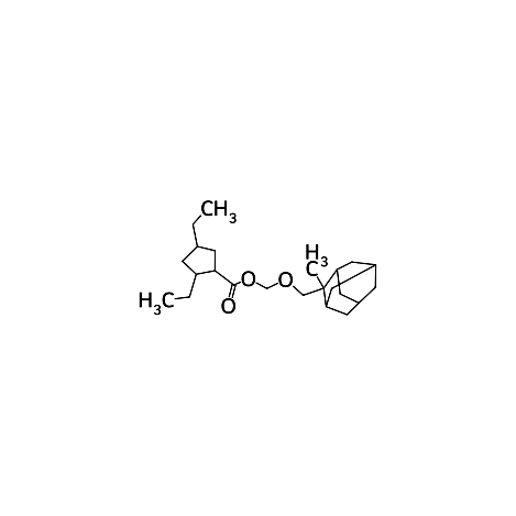 CCC1CC(CC)C(C(=O)OCOCC2(C)C3CC4CC(C3)CC2C4)C1